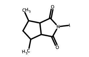 CC1CC(C)C2C(=O)N(I)C(=O)C12